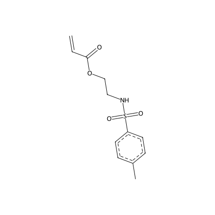 C=CC(=O)OCCNS(=O)(=O)c1ccc(C)cc1